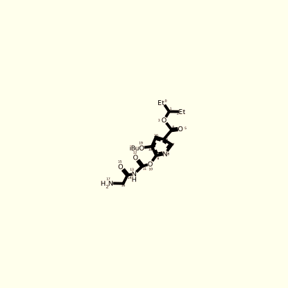 CCC(CC)OC(=O)c1cnc(OC(=O)NC(=O)CN)c(OCC(C)C)c1